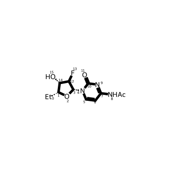 CC[C@H]1O[C@@H](n2ccc(NC(C)=O)nc2=O)C(F)[C@H]1O